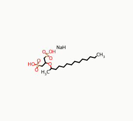 CCCCCCCCCCCCC(C)OC(CS(=O)(=O)O)CS(=O)(=O)O.[NaH]